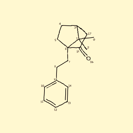 CC1(C)C2CCC1(CCc1ccccc1)C(=O)C2